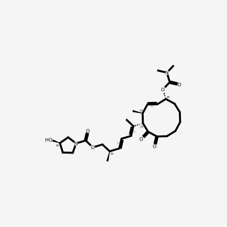 C/C(=C\C=C\[C@@H](C)COC(=O)N1CC[C@@H](O)C1)[C@H]1C(=O)C(=O)CCCCC[C@@H](OC(=O)N(C)C)/C=C/[C@@H]1C